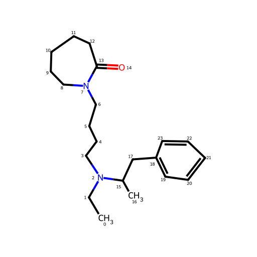 CCN(CCCCN1CCCCCC1=O)C(C)Cc1ccccc1